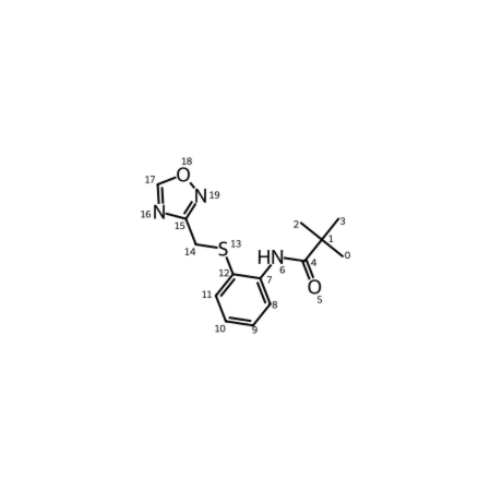 CC(C)(C)C(=O)Nc1ccccc1SCc1ncon1